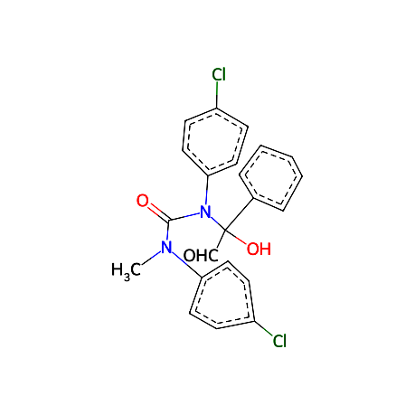 CN(C(=O)N(c1ccc(Cl)cc1)C(O)(C=O)c1ccccc1)c1ccc(Cl)cc1